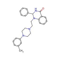 Cc1cccc(N2CCN(CCN3c4ccccc4C(=O)NC3c3ccccc3)CC2)c1